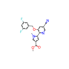 COC(=O)c1cc(-c2ncc(C#N)cc2OCc2cc(F)cc(F)c2)n(C)c1